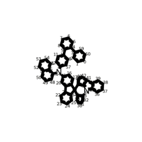 c1ccc(-c2ccccc2-c2ccc(N(c3ccc4c(c3)-c3ccccc3C43c4ccccc4-n4c5ccccc5c5cccc3c54)c3cccc4ccccc34)cc2)cc1